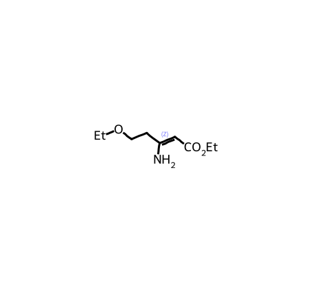 CCOCC/C(N)=C/C(=O)OCC